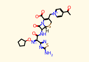 CC(=O)c1cc[n+](CC2=C(C(=O)[O-])N3C(=O)C(NC(=O)/C(=N\OC4CCCC4)c4nsc(N)n4)[C@H]3SC2)cc1